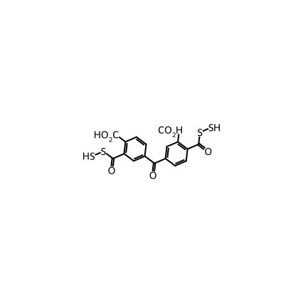 O=C(c1ccc(C(=O)SS)c(C(=O)O)c1)c1ccc(C(=O)O)c(C(=O)SS)c1